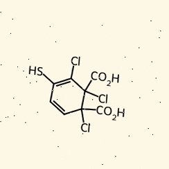 O=C(O)C1(Cl)C=CC(S)=C(Cl)C1(Cl)C(=O)O